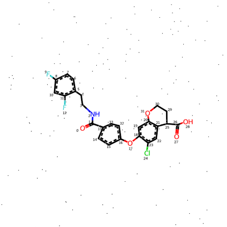 O=C(NCCc1ccc(F)cc1F)c1ccc(Oc2cc3c(cc2Cl)C(C(=O)O)CCO3)cc1